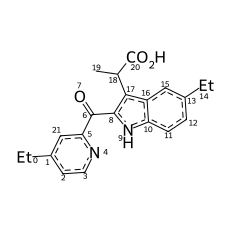 CCc1ccnc(C(=O)c2[nH]c3ccc(CC)cc3c2C(C)C(=O)O)c1